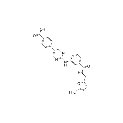 Cc1ccc(CNC(=O)c2cccc(Nc3ncc(-c4ccc(C(=O)O)cc4)cn3)c2)o1